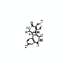 O=C1NC(=O)C2C(c3ccc(Cl)cc31)[C@H]1C(=O)NC(=O)c3cc(Cl)ccc3[C@H]21